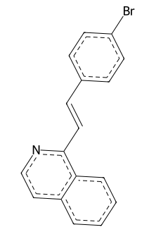 Brc1ccc(/C=C/c2nccc3ccccc23)cc1